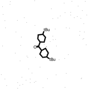 CC(C)(C)C1CCC(C(=O)C2CCC(C(C)(C)C)CC2)CC1